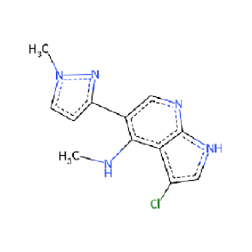 CNc1c(-c2ccn(C)n2)cnc2[nH]cc(Cl)c12